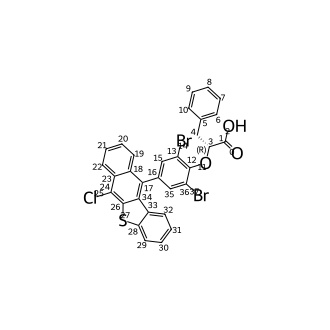 O=C(O)[C@@H](Cc1ccccc1)Oc1c(Br)cc(-c2c3ccccc3c(Cl)c3sc4ccccc4c23)cc1Br